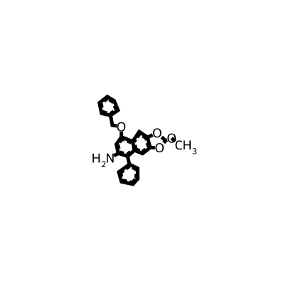 COC1Oc2cc3c(OCc4ccccc4)cc(N)c(-c4ccccc4)c3cc2O1